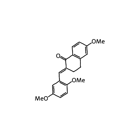 COc1ccc(OC)c(C=C2CCc3cc(OC)ccc3C2=O)c1